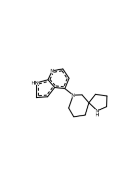 c1cc(N2CCCC3(CCCN3)C2)c2cc[nH]c2n1